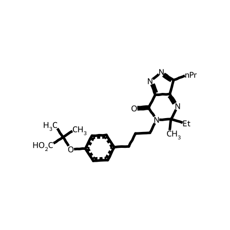 CCCC1=NN=C2C(=O)N(CCCc3ccc(OC(C)(C)C(=O)O)cc3)C(C)(CC)N=C12